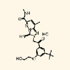 CNC(=O)c1cc(C)c2nn(CC(=O)c3cc(OCCO)cc(C(C)(C)C)c3)c(=N)n2n1.Cl